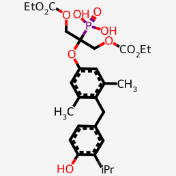 CCOC(=O)OCC(COC(=O)OCC)(Oc1cc(C)c(Cc2ccc(O)c(C(C)C)c2)c(C)c1)P(=O)(O)O